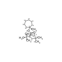 CC(C)(C)CC(C(=O)OC1(C)CCCCCC1)C(C)(C)C